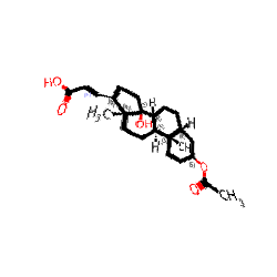 CC(=O)O[C@H]1CC[C@@]2(C)[C@H](CC[C@@H]3[C@@H]2CC[C@]2(C)[C@@H](/C=C/C(=O)O)CC[C@]32O)C1